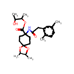 Cc1ccc(C)c(CC(=O)NC2(C(=O)OC(C)C(C)O)CCC3(CC2)OC(C)C(C)O3)c1